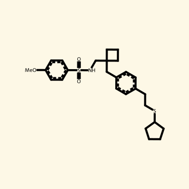 COc1ccc(S(=O)(=O)NCC2(Cc3ccc(CCSC4CCCC4)cc3)CCC2)cc1